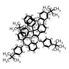 CC(C)(C)c1ccc(N2C3=C(B4c5cc(C(C)(C)C)ccc5N(c5ccc(C(C)(C)C)cc5)c5cccc2c54)C(c2ccccc2)(c2ccccc2)c2c3ccc3c4cc(C(C)(C)C)ccc4n(-c4ccccc4)c23)cc1